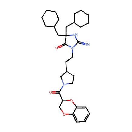 N=C1NC(CC2CCCCC2)(CC2CCCCC2)C(=O)N1CCC1CCN(C(=O)C2COc3ccccc3O2)C1